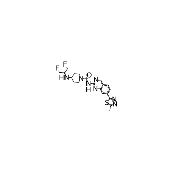 Cc1nnc(-c2ccc3cnc(NC(=O)N4CCC(NC(CF)CF)CC4)nc3c2)s1